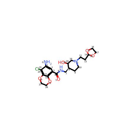 Nc1cc(C(=O)NC[C@@H]2CCN(CCC3OCCO3)CC2O)c2c(c1Cl)OCCO2